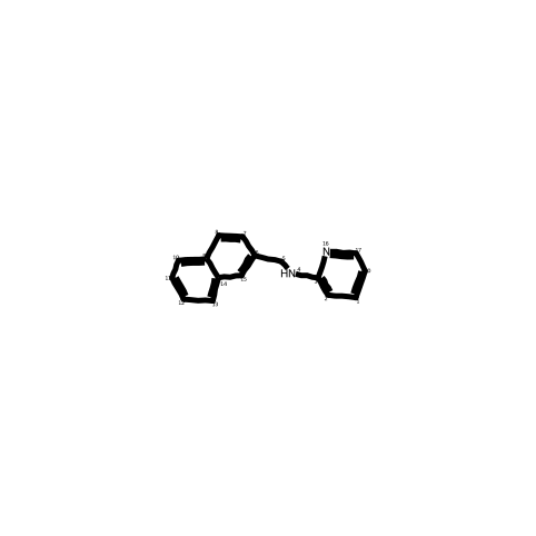 c1ccc(NCc2ccc3ccccc3c2)nc1